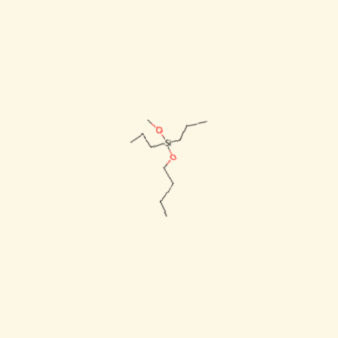 CCCCO[Si](CCC)(CCC)OC